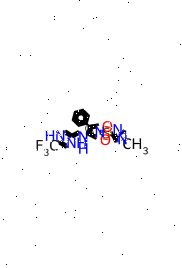 Cn1cnc(S(=O)(=O)N2C[C@H](NCC3CNC(C(F)(F)F)CN3)[C@@H](c3ccccc3)C2)c1